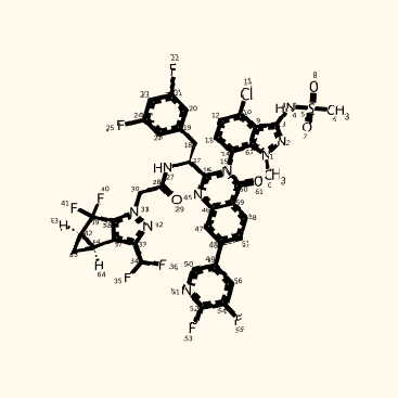 Cn1nc(NS(C)(=O)=O)c2c(Cl)ccc(-n3c([C@H](Cc4cc(F)cc(F)c4)NC(=O)Cn4nc(C(F)F)c5c4C(F)(F)[C@@H]4C[C@H]54)nc4cc(-c5cnc(F)c(F)c5)ccc4c3=O)c21